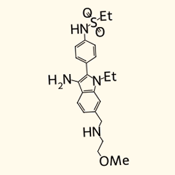 CCn1c(-c2ccc(NS(=O)(=O)CC)cc2)c(N)c2ccc(CNCCOC)cc21